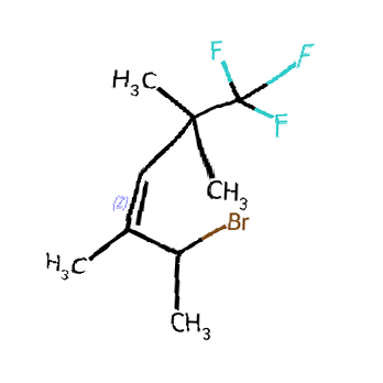 C/C(=C/C(C)(C)C(F)(F)F)C(C)Br